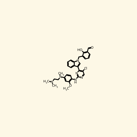 COc1cc(N(C)CCN(C)C)ccc1Nc1ncc(Cl)c(-c2cn(Cc3cccc(C=O)c3O)c3ccccc23)n1